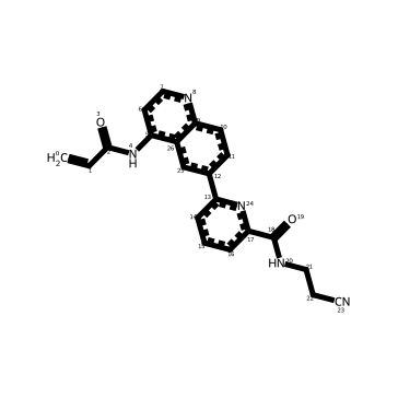 C=CC(=O)Nc1ccnc2ccc(-c3cccc(C(=O)NCCC#N)n3)cc12